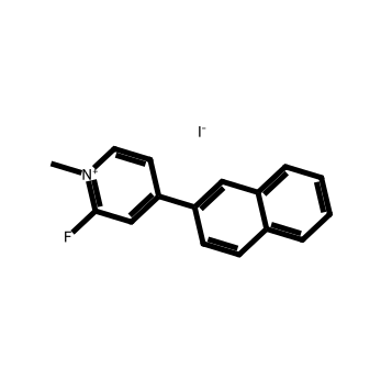 C[n+]1ccc(-c2ccc3ccccc3c2)cc1F.[I-]